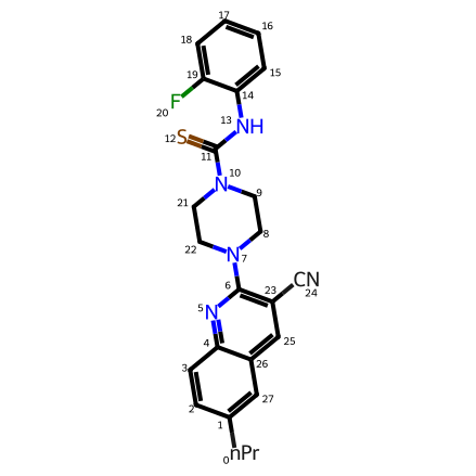 CCCc1ccc2nc(N3CCN(C(=S)Nc4ccccc4F)CC3)c(C#N)cc2c1